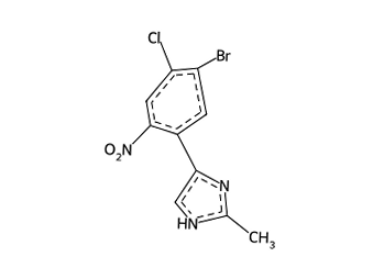 Cc1nc(-c2cc(Br)c(Cl)cc2[N+](=O)[O-])c[nH]1